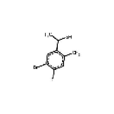 Cc1cc(F)c(Br)cc1C(S)C(F)(F)F